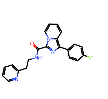 O=C(NCCc1ccccn1)c1nc(-c2ccc(F)cc2)c2ccccn12